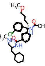 CNCC(CC1CCCCC1)NC(=O)c1cccc([C@](CCCCOC)(NC(C)=O)c2cccc(Cl)c2)c1